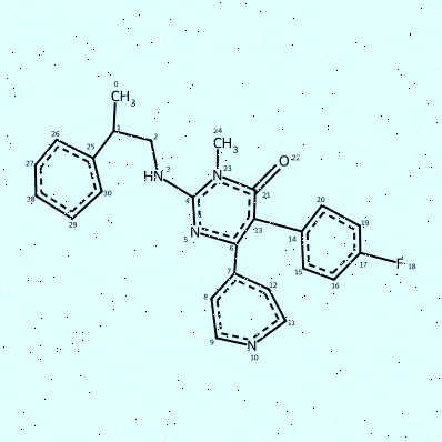 CC(CNc1nc(-c2ccncc2)c(-c2ccc(F)cc2)c(=O)n1C)c1ccccc1